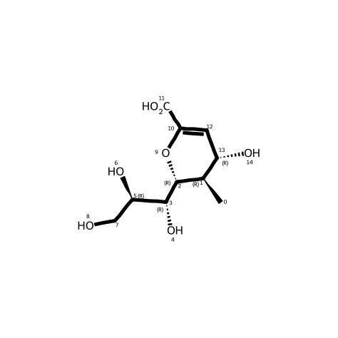 C[C@H]1[C@H]([C@H](O)[C@H](O)CO)OC(C(=O)O)=C[C@@H]1O